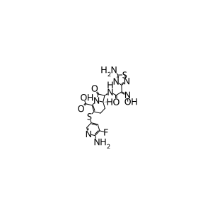 Nc1nc(/C(=N/O)C(=O)N[C@@H]2C(=O)N3C(C(=O)O)=C(Sc4cnc(N)c(F)c4)CC[C@H]23)ns1